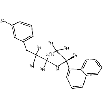 [2H]C([2H])(Cc1cccc(C(F)(F)F)c1)C([2H])([2H])N[C@@]([2H])(c1cccc2ccccc12)C([2H])([2H])[2H]